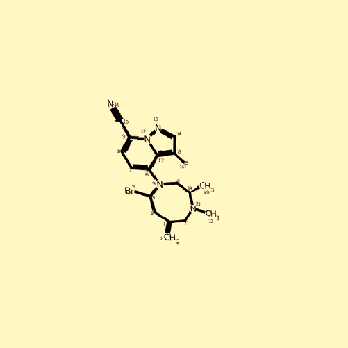 C=C1CC(Br)N(c2ccc(C#N)n3ncc(F)c23)C[C@@H](C)N(C)C1